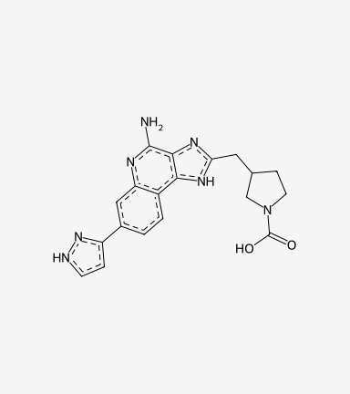 Nc1nc2cc(-c3cc[nH]n3)ccc2c2[nH]c(CC3CCN(C(=O)O)C3)nc12